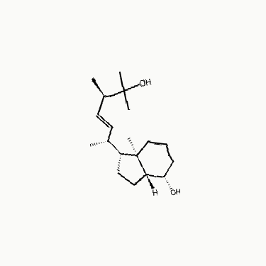 C[C@H](C=C[C@@H](C)C(C)(C)O)[C@H]1CC[C@H]2[C@@H](O)CCC[C@]12C